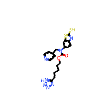 O=C(OCCCCCc1nnn[nH]1)N(Cc1ccncc1)c1ccc2nc(S)sc2c1